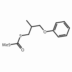 CSC(=O)SCC(C)COc1ccccc1